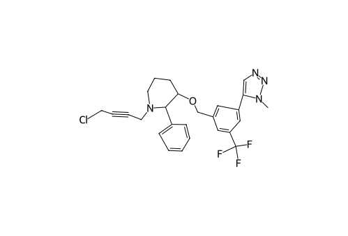 Cn1nncc1-c1cc(COC2CCCN(CC#CCCl)C2c2ccccc2)cc(C(F)(F)F)c1